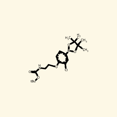 CC(C)(C)OC(=O)NCCOc1ccc(B2OC(C)(C)C(C)(C)O2)cc1Cl